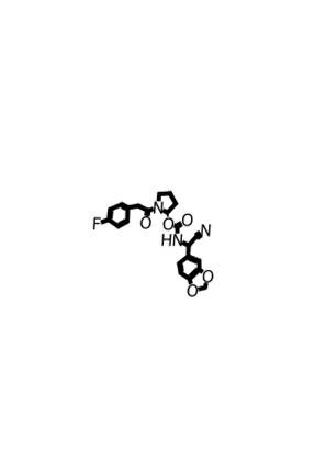 N#CC(NC(=O)O[C@H]1CCCN1C(=O)Cc1ccc(F)cc1)c1ccc2c(c1)OCO2